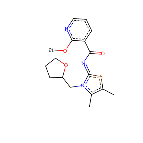 CCOc1ncccc1C(=O)/N=c1\sc(C)c(C)n1CC1CCCO1